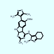 COc1cc2c(cc1-c1c(C)noc1C)NC1N=C(C)N=C(Nc3c4c(nn3C)CCCC4)C21